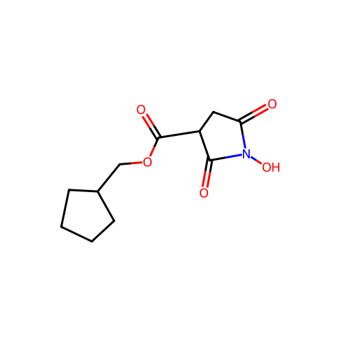 O=C(OCC1CCCC1)C1CC(=O)N(O)C1=O